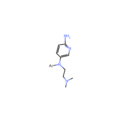 CC(=O)N(CCN(C)C)c1ccc(N)nc1